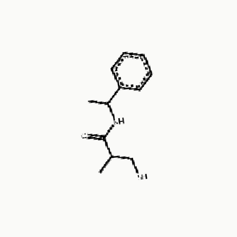 CC(CS)C(=O)NC(C)c1ccccc1